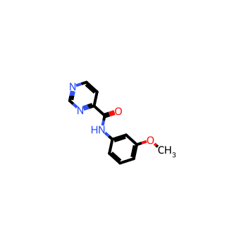 COc1cccc(NC(=O)c2ccncn2)c1